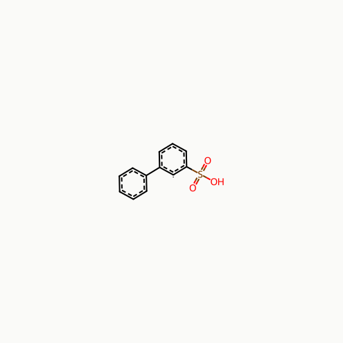 O=S(=O)(O)c1[c]c(-c2ccccc2)ccc1